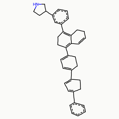 C1=CC2=C(C3=CC=C(C4=CC=C(c5ccccc5)CC4)CC3)CCC(c3cccc(C4CCNC4)c3)=C2CC1